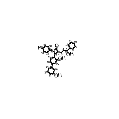 O=C1[C@H](CC[C@H](O)c2ccccc2)[C@@H](c2ccc(-c3cccc(O)c3)cc2O)N1c1ccc(F)cc1